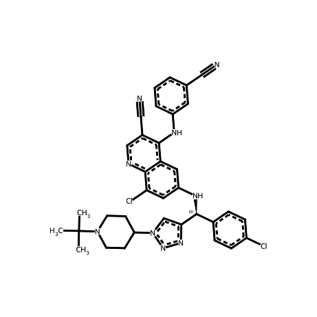 CC(C)(C)N1CCC(n2cc([C@@H](Nc3cc(Cl)c4ncc(C#N)c(Nc5cccc(C#N)c5)c4c3)c3ccc(Cl)cc3)nn2)CC1